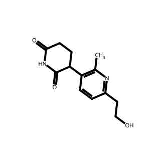 Cc1nc(CCO)ccc1C1CCC(=O)NC1=O